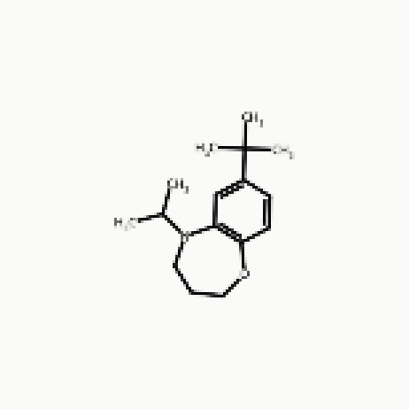 CC(C)N1CCCOc2ccc(C(C)(C)C)cc21